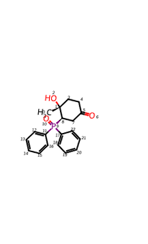 C[C@@]1(O)CCC(=O)C[C@H]1P(=O)(c1ccccc1)c1ccccc1